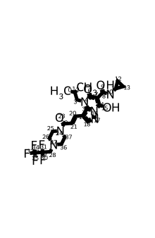 CC(C)Cn1c(=O)c(C(=O)NC2CC2)c(O)n2ncc(C=CC(=O)N3CCN(CC(F)(F)C(F)(F)F)CC3)c12